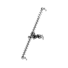 CCCCCCCCCCCCCCCCCCCCCCCCCC(=O)OC(COC(=O)CCCCCCCCCCCCCCCCCCCCC)COP(=O)(O)OCC[N+](C)(C)C